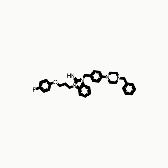 N=c1n(CCCOc2ccc(F)cc2)c2ccccc2n1Cc1ccc(N2CCN(Cc3ccccc3)CC2)cc1